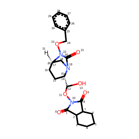 O=C1C2CCCCC2C(=O)N1OC(O)[C@@H]1CC[C@@H]2CN1C(=O)N2OCc1ccccc1